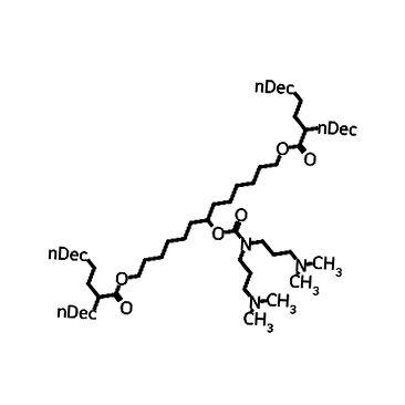 CCCCCCCCCCCCC(CCCCCCCCCC)C(=O)OCCCCCCC(CCCCCCOC(=O)C(CCCCCCCCCC)CCCCCCCCCCCC)OC(=O)N(CCCN(C)C)CCCN(C)C